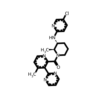 Cc1ccnc(C(=O)N2CCC[C@@H](Nc3ccc(Cl)cn3)[C@@H]2C)c1-c1ncccn1